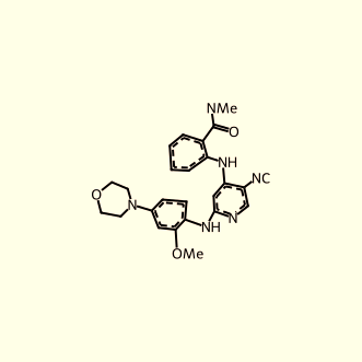 [C-]#[N+]c1cnc(Nc2ccc(N3CCOCC3)cc2OC)cc1Nc1ccccc1C(=O)NC